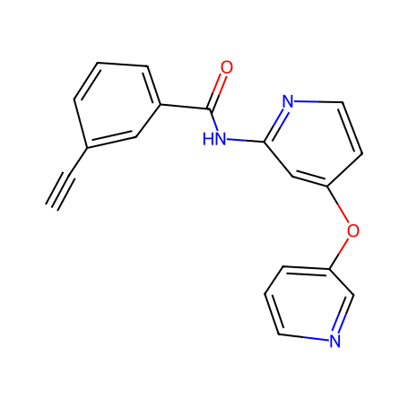 C#Cc1cccc(C(=O)Nc2cc(Oc3cccnc3)ccn2)c1